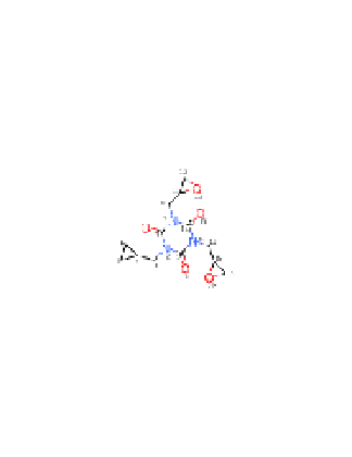 O=c1n(CC2CC2)c(=O)n(CC2CO2)c(=O)n1CC1CO1